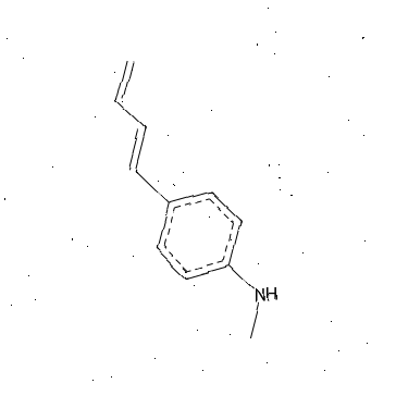 C=C/C=C/c1ccc(NC)cc1